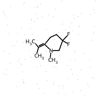 CC(C)=C1CCC(F)(F)CN1C